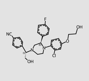 N#Cc1ccc([C@@H](CO)N2CCN(c3ccc(OCCO)cc3Cl)[C@H](c3ccc(F)cc3)C2)cc1